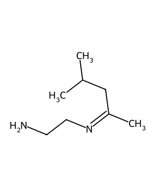 CC(CC(C)C)=NCCN